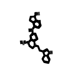 CN1CCN(CCC2=CNC3=CC=CCC23)c2ccc(Nc3ccnc4c3CCC4O)cc21